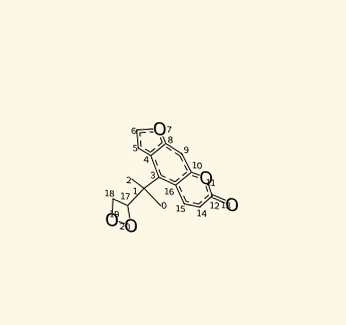 CC(C)(c1c2ccoc2cc2oc(=O)ccc12)C1COO1